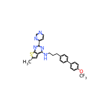 Cc1cc2c(NCCCc3ccc(-c4ccc(OC(F)(F)F)cc4)cc3)nc(-c3ccncn3)nc2s1